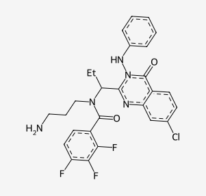 CCC(c1nc2cc(Cl)ccc2c(=O)n1Nc1ccccc1)N(CCCN)C(=O)c1ccc(F)c(F)c1F